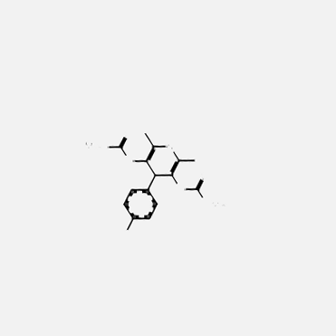 COC(=O)OC1=C(C)NC(C)=C(OC(=O)OC)C1c1ccc(Cl)cc1